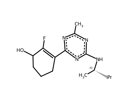 Cc1nc(N[C@@H](C)C(C)C)nc(C2=C(F)C(O)CCC2)n1